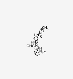 CC(C)Nc1cccnc1N1CCN(c2cc3cc(NC(=S)N4CCN(C)CC4)ccc3[nH]2)C(C=O)C1